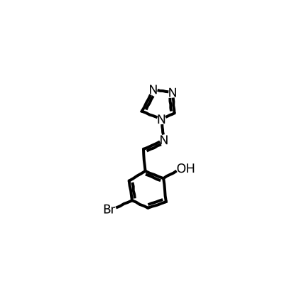 Oc1ccc(Br)cc1C=Nn1cnnc1